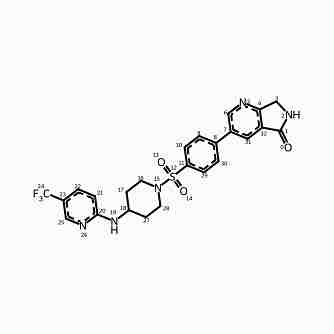 O=C1NCc2ncc(-c3ccc(S(=O)(=O)N4CCC(Nc5ccc(C(F)(F)F)cn5)CC4)cc3)cc21